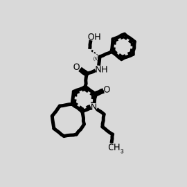 CCCCn1c2c(cc(C(=O)N[C@H](CO)c3ccccc3)c1=O)CCCCCC2